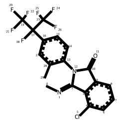 C/N=C1/c2c(Cl)cccc2C(=O)N1c1ccc(C(F)(C(F)(F)F)C(F)(F)F)cc1C